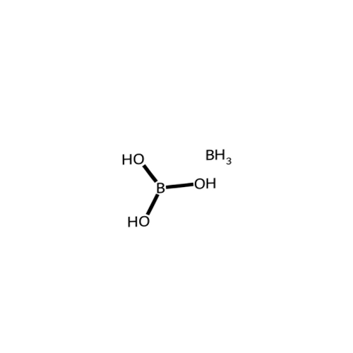 B.OB(O)O